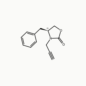 C#CCN1C(=O)OC[C@@H]1Cc1ccccc1